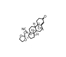 CC1([C@H]2CC[C@H]3[C@@H]4CCC5=CC(=O)CC[C@@]5(C)[C@@H]4CC[C@]23CC#N)OCCO1